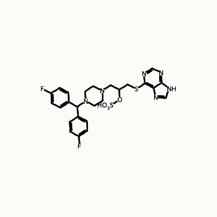 O=S(=O)(O)OC(CSc1ncnc2[nH]cnc12)CN1CCN(C(c2ccc(F)cc2)c2ccc(F)cc2)CC1